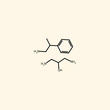 CC(CN)c1ccccc1.NCC(O)CN